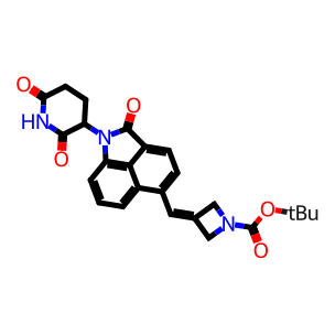 CC(C)(C)OC(=O)N1CC(=Cc2ccc3c4c(cccc24)N(C2CCC(=O)NC2=O)C3=O)C1